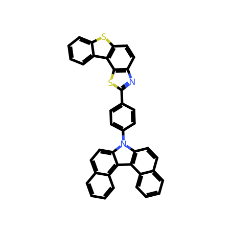 c1ccc2c(c1)ccc1c2c2c3ccccc3ccc2n1-c1ccc(-c2nc3ccc4sc5ccccc5c4c3s2)cc1